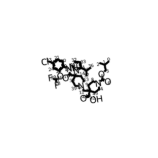 CC(C)COC(=O)N1CCC(CN2CCC(C(=O)Nc3ccc(Cl)cc3OC(F)F)(n3nccc3C(C)C)CC2)(C(=O)O)CC1